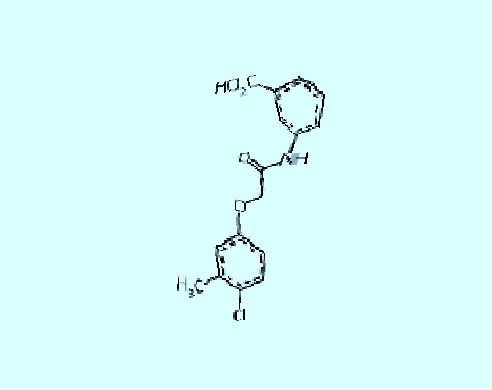 Cc1cc(OCC(=O)Nc2cccc(C(=O)O)c2)ccc1Cl